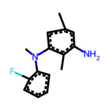 Cc1cc(N)c(C)c(N(C)c2ccccc2F)c1